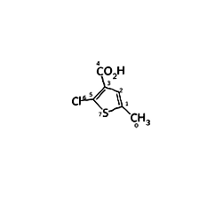 Cc1cc(C(=O)O)c(Cl)s1